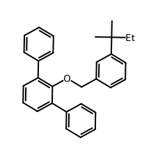 CCC(C)(C)c1cccc(COc2c(-c3ccccc3)cccc2-c2ccccc2)c1